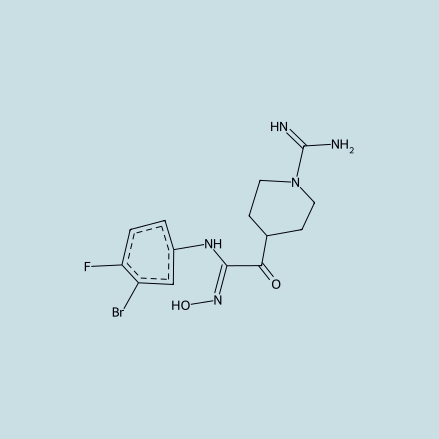 N=C(N)N1CCC(C(=O)/C(=N/O)Nc2ccc(F)c(Br)c2)CC1